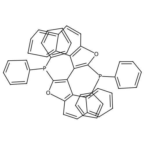 c1ccc(P(c2ccccc2)c2oc3ccc4ccccc4c3c2-c2c(P(c3ccccc3)c3ccccc3)oc3ccc4ccccc4c23)cc1